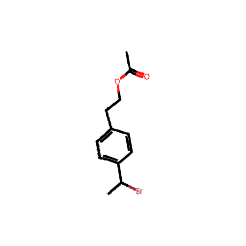 CC(=O)OCCc1ccc(C(C)Br)cc1